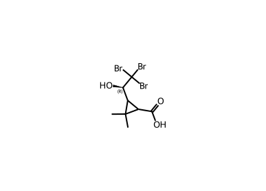 CC1(C)C(C(=O)O)C1[C@@H](O)C(Br)(Br)Br